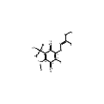 CC/C(C)=C/CC1=C(C)C(=O)C(OC)=C(C(F)(F)F)C1=O